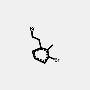 Cc1c(Br)cccc1CCBr